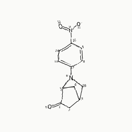 O=C1CC2CC1N(c1ccc([N+](=O)[O-])cc1)C2